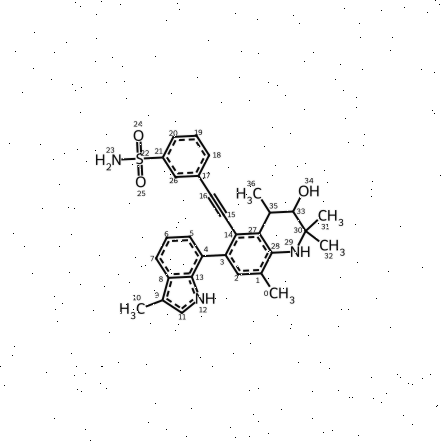 Cc1cc(-c2cccc3c(C)c[nH]c23)c(C#Cc2cccc(S(N)(=O)=O)c2)c2c1NC(C)(C)C(O)C2C